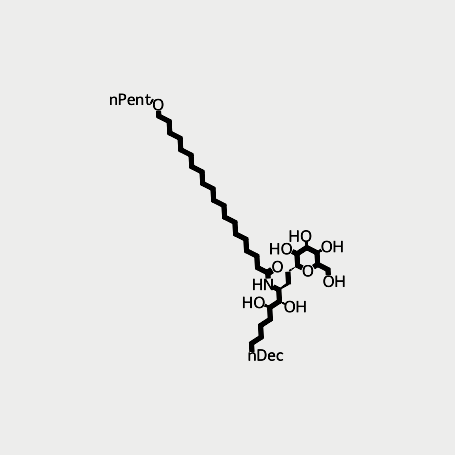 CCCCCCCCCCCCCC[C@@H](O)[C@@H](O)[C@H](CC[C@H]1OC(CO)[C@H](O)[C@H](O)C1O)NC(=O)CCCCCCCCCCCCCCCCCCCOCCCCC